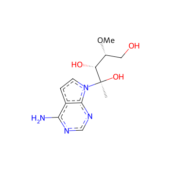 CO[C@H](CO)[C@@H](O)[C@@](C)(O)n1ccc2c(N)ncnc21